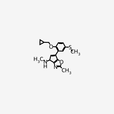 CNC1C=C(c2cc(SC)ccc2OCC2CC2)c2oc(C)nc21